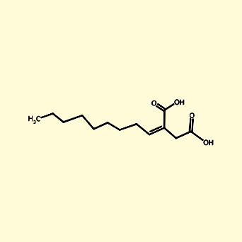 CCCCCCCCC=C(CC(=O)O)C(=O)O